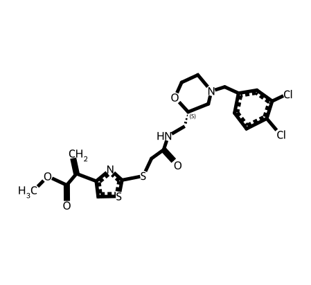 C=C(C(=O)OC)c1csc(SCC(=O)NC[C@H]2CN(Cc3ccc(Cl)c(Cl)c3)CCO2)n1